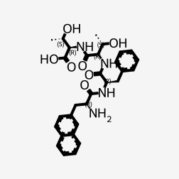 C[C@H](O)[C@@H](NC(=O)[C@H](NC(=O)[C@@H](Cc1ccccc1)NC(=O)[C@H](N)Cc1ccc2ccccc2c1)[C@H](C)O)C(=O)O